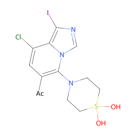 CC(=O)c1cc(Cl)c2c(I)ncn2c1N1CCS(O)(O)CC1